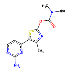 Cc1nc(OC(=O)N(C)C(C)(C)C)sc1-c1ccnc(N)n1